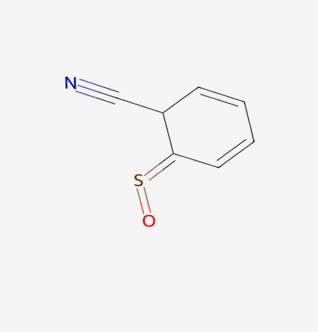 N#CC1C=CC=CC1=S=O